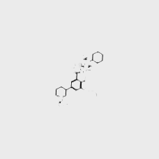 Cc1cc(C2CCCN(C)C2)cc(C(=O)NNS(=O)(=O)C2CCCCC2)c1F